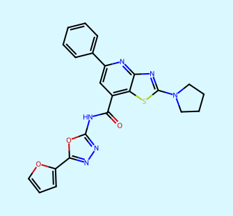 O=C(Nc1nnc(-c2ccco2)o1)c1cc(-c2ccccc2)nc2nc(N3CCCC3)sc12